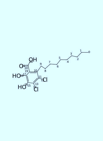 CCCCCCCCCCc1c(Cl)c(Cl)c(O)c(O)c1C(=O)O